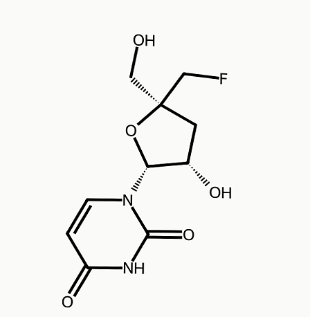 O=c1ccn([C@@H]2O[C@@](CO)(CF)C[C@@H]2O)c(=O)[nH]1